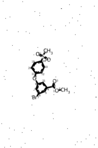 COC(=O)c1cc(Br)cc(Oc2ccc(S(C)(=O)=O)cc2)c1